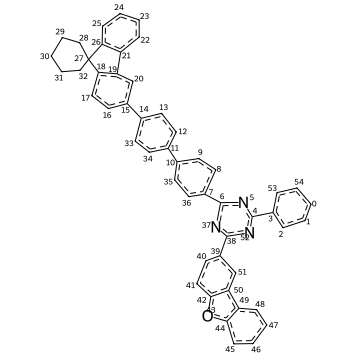 c1ccc(-c2nc(-c3ccc(-c4ccc(-c5ccc6c(c5)-c5ccccc5C65CCCCC5)cc4)cc3)nc(-c3ccc4oc5ccccc5c4c3)n2)cc1